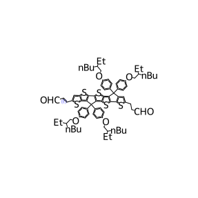 CCCCC(CC)COc1ccc(C2(c3ccc(OCC(CC)CCCC)cc3)c3cc(CCC=O)sc3-c3sc4c5c(sc4c32)-c2sc3cc(/C=C/C=O)sc3c2C5(c2ccc(OCC(CC)CCCC)cc2)c2ccc(OCC(CC)CCCC)cc2)cc1